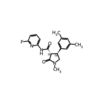 Cc1cc(C)cc([C@H]2CN(C)C(=O)[C@@H]2C(=O)Nc2cccc(F)n2)c1